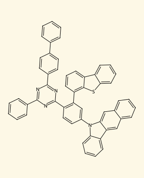 c1ccc(-c2ccc(-c3nc(-c4ccccc4)nc(-c4ccc(-n5c6ccccc6c6cc7ccccc7cc65)cc4-c4cccc5c4sc4ccccc45)n3)cc2)cc1